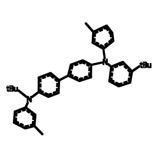 Cc1cccc(N(c2ccc(-c3ccc(N(c4cccc(C)c4)C(C)(C)C)cc3)cc2)c2cccc(C(C)(C)C)c2)c1